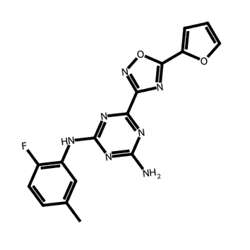 Cc1ccc(F)c(Nc2nc(N)nc(-c3noc(-c4ccco4)n3)n2)c1